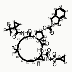 O=C1N[C@]2(C(=O)NS(=O)(=O)C3CC3)C[C@H]2/C=C\CCC(F)(F)CC[C@H](NC(=O)C2(C(F)(F)F)CC2)C(=O)N2C[C@H](OC(=O)N3Cc4ccccc4C3)C[C@@H]12